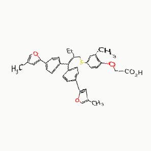 CCC(CSc1ccc(OCC(=O)O)c(C)c1)=C(c1ccc(-c2cc(C)co2)cc1)c1ccc(-c2cc(C)co2)cc1